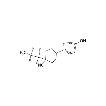 N#CC1(C(F)(F)C(F)(F)C(F)(F)F)CCC(c2ccc(O)cc2)CC1